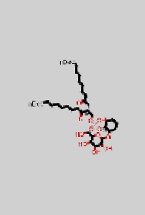 CCCCCCCCCCCCCCCCCC(=O)C[C@H](COP(=O)(O)O[C@@H]1CCCC[C@H]1OC1OC(CO)C(O)C(O)C1O)C(=O)CCCCCCCCCCCCCCCCC